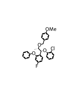 COc1ccc(CO[C@@H](C)[C@H](Oc2ccccc2Cl)c2ccc(F)cc2Oc2ccccc2)cc1